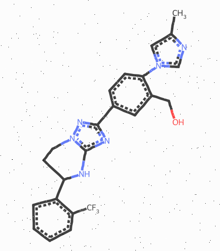 Cc1cn(-c2ccc(-c3nc4n(n3)CCC(c3ccccc3C(F)(F)F)N4)cc2CO)cn1